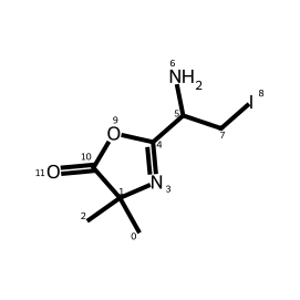 CC1(C)N=C(C(N)CI)OC1=O